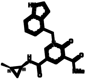 CNC(=O)c1cc(C(=O)N[C@H]2C[C@@H]2C)cn(Cc2cccc3[nH]ccc23)c1=O